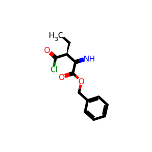 CC[C@@H](C(=N)C(=O)OCc1ccccc1)C(=O)Cl